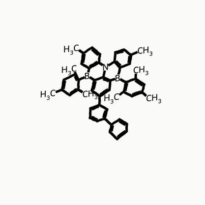 Cc1cc(C)c(B2c3cc(C)ccc3N3c4ccc(C)cc4B(c4c(C)cc(C)cc4C)c4cc(-c5cccc(-c6ccccc6)c5)cc2c43)c(C)c1